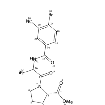 COC(=O)[C@@H]1CCCN1C(=O)C(NC(=O)c1ccc(Br)c(C#N)c1)C(C)C